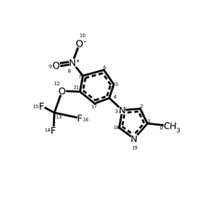 Cc1cn(-c2ccc([N+](=O)[O-])c(OC(F)(F)F)c2)cn1